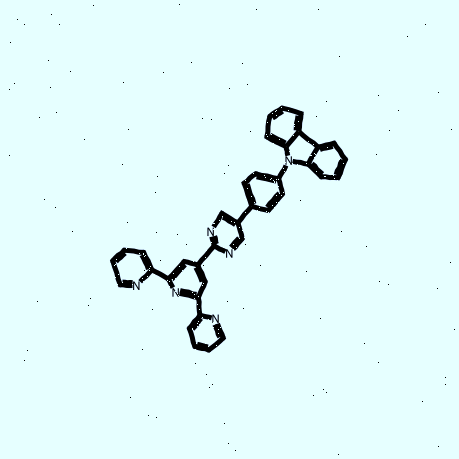 c1ccc(-c2cc(-c3ncc(-c4ccc(-n5c6ccccc6c6ccccc65)cc4)cn3)cc(-c3ccccn3)n2)nc1